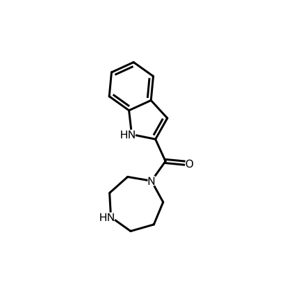 O=C(c1cc2ccccc2[nH]1)N1CCCNCC1